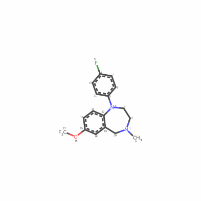 CN1CCN(c2ccc(F)cc2)c2ccc(OC(F)(F)F)cc2C1